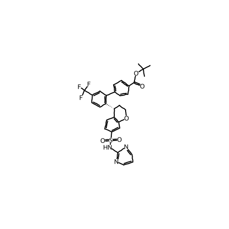 CC(C)(C)OC(=O)c1ccc(-c2cc(C(F)(F)F)ccc2[C@@H]2CCOc3cc(S(=O)(=O)Nc4ncccn4)ccc32)cc1